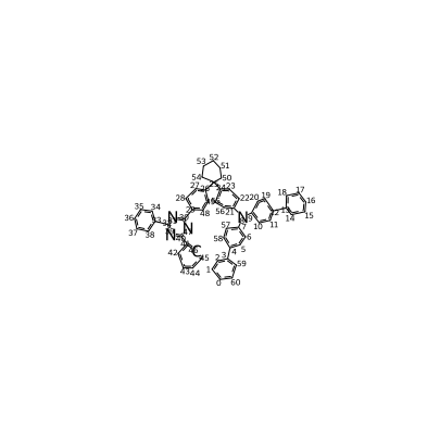 c1ccc(-c2ccc(N(c3ccc(-c4ccccc4)cc3)c3ccc(C4(c5ccc(-c6nc(-c7ccccc7)nc(-c7ccccc7)n6)cc5)CCCCC4)cc3)cc2)cc1